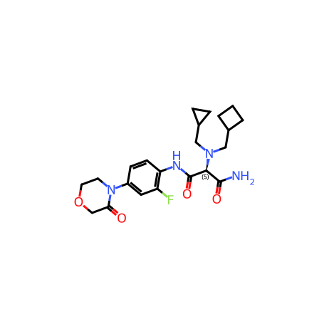 NC(=O)[C@@H](C(=O)Nc1ccc(N2CCOCC2=O)cc1F)N(CC1CCC1)CC1CC1